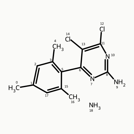 Cc1cc(C)c(-c2nc(N)nc(Cl)c2Cl)c(C)c1.N